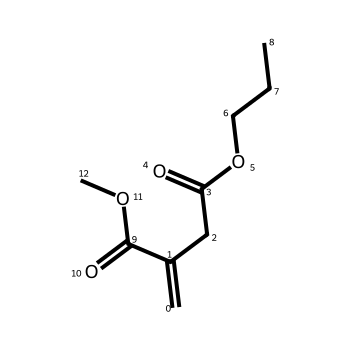 C=C(CC(=O)OCCC)C(=O)OC